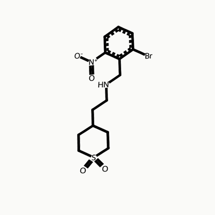 O=[N+]([O-])c1cccc(Br)c1CNCCC1CCS(=O)(=O)CC1